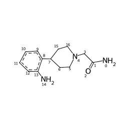 NC(=O)CN1CCC(c2ccccc2N)CC1